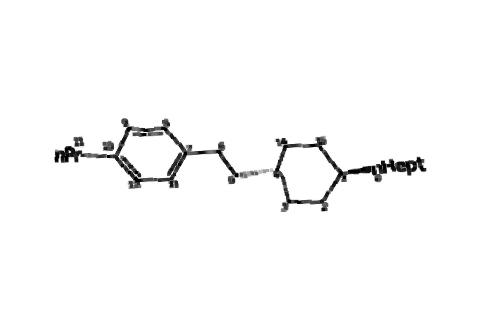 CCCCCCC[C@H]1CC[C@H](CCc2ccc(CCC)cc2)CC1